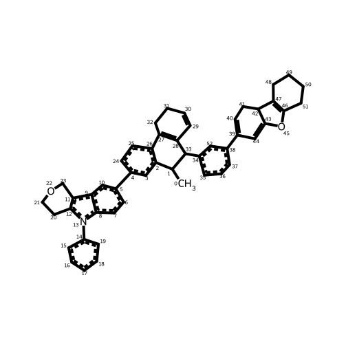 CC1c2cc(-c3ccc4c(c3)c3c(n4-c4ccccc4)CCOC3)ccc2C2=C(C=CCC2)C1c1cccc(C2=CCC3C(=C2)OC2=C3CCCC2)c1